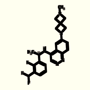 C[C@@H](Nc1cnnc2ccc(N3CC4(CN(C)C4)C3)cc12)c1cccc(C(F)F)c1F